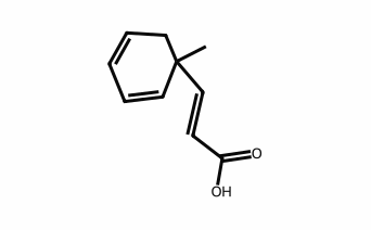 CC1(C=CC(=O)O)C=CC=CC1